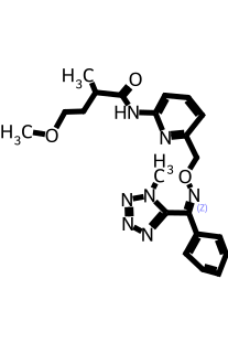 COCCC(C)C(=O)Nc1cccc(CO/N=C(/c2ccccc2)c2nnnn2C)n1